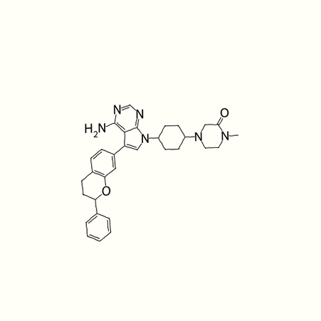 CN1CCN(C2CCC(n3cc(-c4ccc5c(c4)OC(c4ccccc4)CC5)c4c(N)ncnc43)CC2)CC1=O